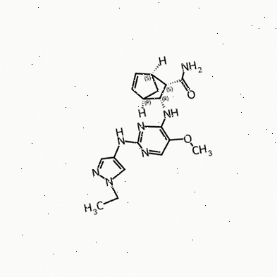 CCn1cc(Nc2ncc(OC)c(N[C@H]3[C@@H](C(N)=O)[C@@H]4C=C[C@H]3C4)n2)cn1